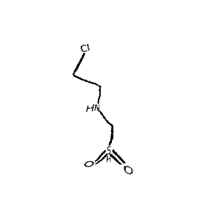 O=[SH](=O)CNCCCl